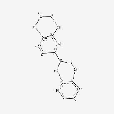 c1cnc2c(c1)OCC(c1ccc3c(n1)CCOC3)C2